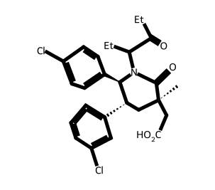 CCC(=O)C(CC)N1C(=O)[C@@](C)(CC(=O)O)C[C@H](C2=C=C=CC(Cl)=C2)[C@H]1c1ccc(Cl)cc1